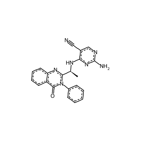 C[C@H](Nc1nc(N)ncc1C#N)c1nc2ccccc2c(=O)n1-c1ccccc1